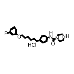 Cl.O=C(Nc1ccc(CCCCCCOc2cccc(F)c2)cc1)N1CCNCC1